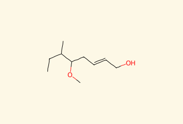 CCC(C)C(CC=CCO)OC